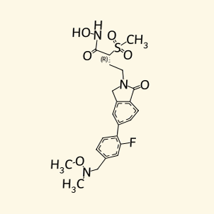 CON(C)Cc1ccc(-c2ccc3c(c2)CN(CC[C@H](C(=O)NO)S(C)(=O)=O)C3=O)c(F)c1